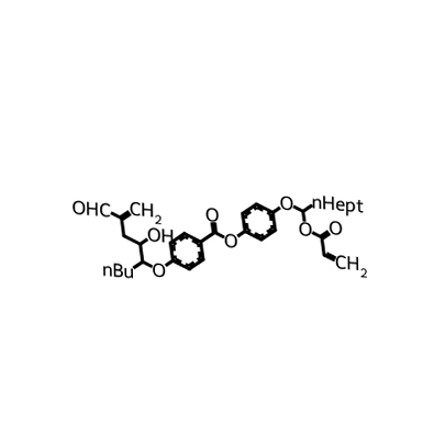 C=CC(=O)OC(CCCCCCC)Oc1ccc(OC(=O)c2ccc(OC(CCCC)C(O)CC(=C)C=O)cc2)cc1